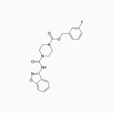 O=C(Nc1noc2ccccc12)N1CCN(C(=O)OCc2cccc(F)c2)CC1